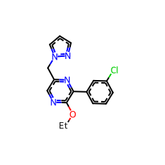 CCOc1ncc(Cn2cccn2)nc1-c1cccc(Cl)c1